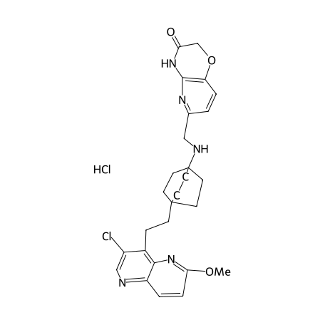 COc1ccc2ncc(Cl)c(CCC34CCC(NCc5ccc6c(n5)NC(=O)CO6)(CC3)CC4)c2n1.Cl